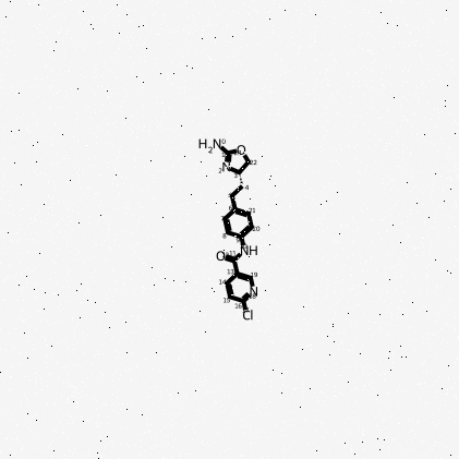 NC1=N[C@@H](CCc2ccc(NC(=O)c3ccc(Cl)nc3)cc2)CO1